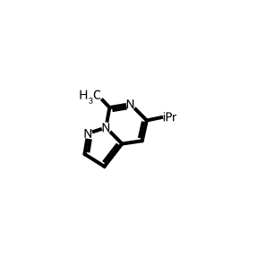 Cc1nc(C(C)C)cc2ccnn12